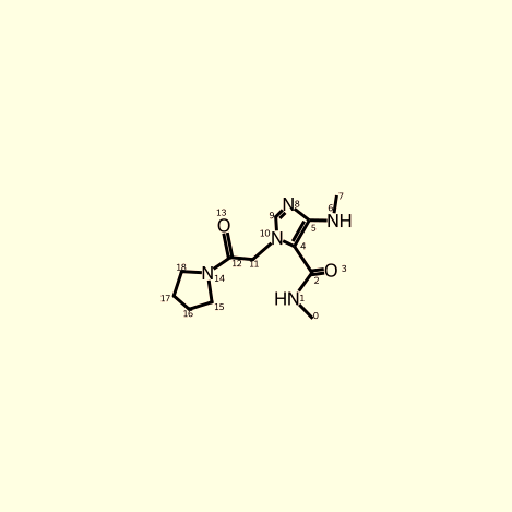 CNC(=O)c1c(NC)ncn1CC(=O)N1CCCC1